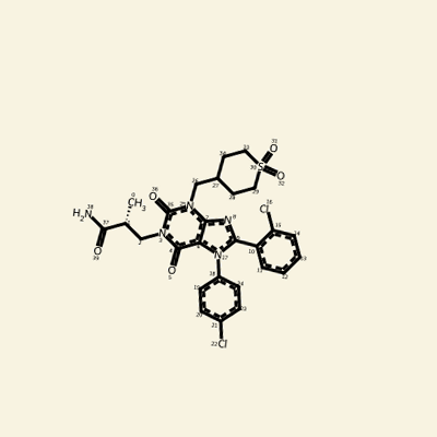 C[C@H](Cn1c(=O)c2c(nc(-c3ccccc3Cl)n2-c2ccc(Cl)cc2)n(CC2CCS(=O)(=O)CC2)c1=O)C(N)=O